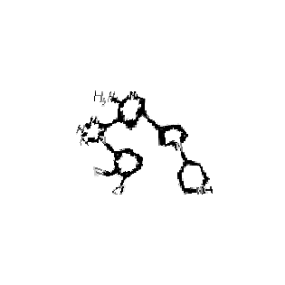 Nc1ncc(-c2ccn(C3CCNCC3)c2)cc1-c1nnnn1-c1cccc(Cl)c1F